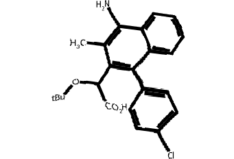 Cc1c(C(OC(C)(C)C)C(=O)O)c(-c2ccc(Cl)cc2)c2ccccc2c1N